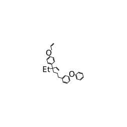 C=CCOc1ccc(C(C=C)(CC)CCCc2cccc(Oc3ccccc3)c2)cc1